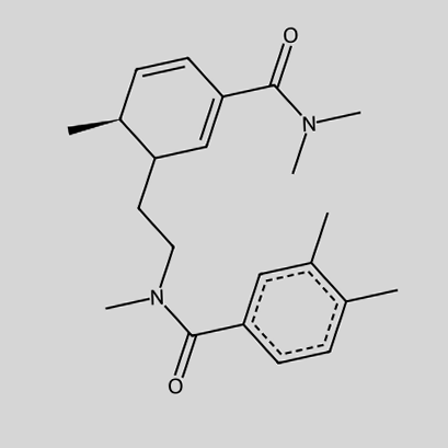 Cc1ccc(C(=O)N(C)CCC2C=C(C(=O)N(C)C)C=C[C@@H]2C)cc1C